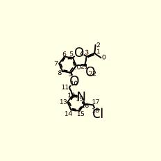 CC(C)=C1Oc2cccc(OCc3cccc(CCl)n3)c2C1=O